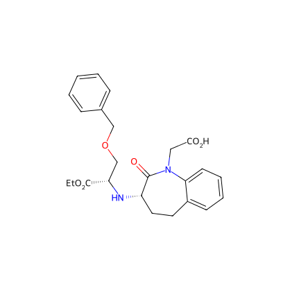 CCOC(=O)[C@H](COCc1ccccc1)N[C@H]1CCc2ccccc2N(CC(=O)O)C1=O